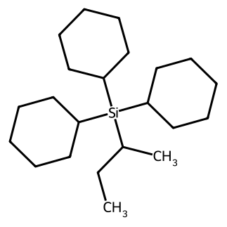 CCC(C)[Si](C1CCCCC1)(C1CCCCC1)C1CCCCC1